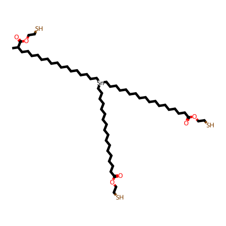 CC(CCCCCCCCCCCCCCC[CH2][Sn]([CH2]CCCCCCCCCCCCCCCCC(=O)OCCS)[CH2]CCCCCCCCCCCCCCCCC(=O)OCCS)C(=O)OCCS